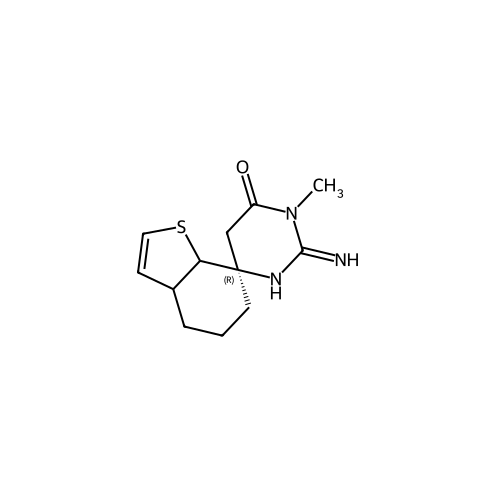 CN1C(=N)N[C@]2(CCCC3C=CSC32)CC1=O